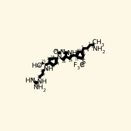 C[C@H](N)CCCc1cc(SC(F)(F)F)cc(-c2cc3cn(-c4ccc([C@@H](CO)NCCCNC(=N)N)cc4)c(=O)nc3[nH]2)c1